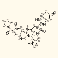 O=C(c1cc2ncnc(NCCC(C(=O)N3CCc4[nH]cnc4C3)c3nc4cc(Cl)ccc4[nH]3)c2cc1Cl)N1CCCC1